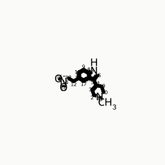 CN1CC=C(c2c[nH]c3ccc(CC[N+](=O)[O-])cc23)CC1